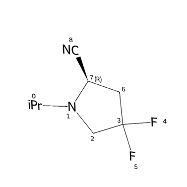 CC(C)N1CC(F)(F)C[C@@H]1C#N